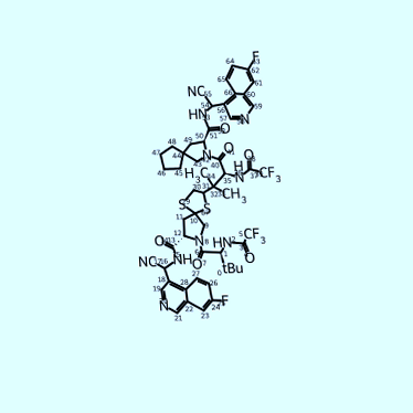 CC(C)(C)[C@H](NC(=O)C(F)(F)F)C(=O)N1CC2(C[C@H]1C(=O)NC(C#N)c1cncc3cc(F)ccc13)SCC(C(C)(C)[C@H](NC(=O)C(F)(F)F)C(=O)N1CC3(CCCC3)C[C@H]1C(=O)NC(C#N)c1cncc3cc(F)ccc13)S2